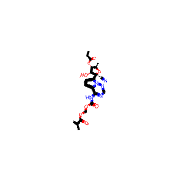 [CH2][C@H]1O[C@@](C#N)(c2ccc3c(NC(=O)OCOC(=O)C(C)C)ncnn23)[C@H](O)[C@@H]1OC(=O)CC